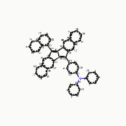 c1ccc(N(c2ccccc2)c2ccc(C3=C4C(=C(c5cccc6ccccc56)c5cc6ccccc6cc54)c4cc5ccccc5cc43)cc2)cc1